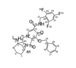 C=NC12CCC[C@@H](C1)N1C(=O)c3c(OCc4ccccc4)c(=O)c(C(=O)NCc4c(F)cc(F)cc4F)cn3C[C@@H]12